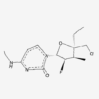 CC[C@@]1(CCl)O[C@@H](n2ccc(NC)nc2=O)[C@H](F)[C@@H]1C